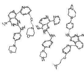 CN(C)CCOc1ccnc(-c2cccc3c(N)nc(Nc4ccc(N5CCOCC5)cc4)nc23)c1.Nc1nc(Nc2ccc(N3CCNCC3)cc2)nc2c(-c3ccccn3)nccc12.Nc1nc(Nc2ccc(N3CCOCC3)cc2)nc2c(-c3cc(OCCN4CCOCC4)ccn3)cccc12